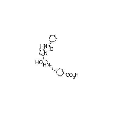 O=C(O)c1ccc(CCNCC(O)c2csc(NC(=O)c3ccccc3)n2)cc1